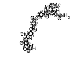 CCc1c2c(nc3ccc(OC(=O)N4CCN(C(=O)OCc5ccc(NC(=O)[C@H](CCCNC(N)=O)NC(=O)[C@@H](NSC)C(C)C)cc5)CC4)cc13)-c1cc3c(c(=O)n1C2)COC(=O)[C@]3(O)CC